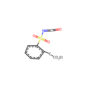 CCOC(=O)Cc1ccccc1S(=O)(=O)N=C=O